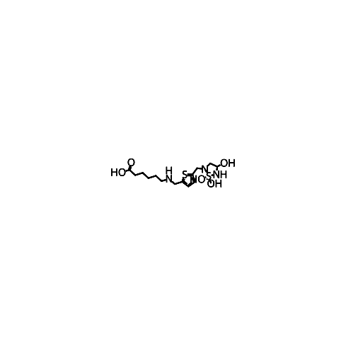 O=C(O)CCCCCNCc1ccc(CN2CC(O)NS2(O)O)s1